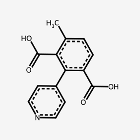 Cc1ccc(C(=O)O)c(-c2ccncc2)c1C(=O)O